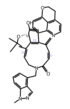 C=C1/C=C\C(=O)N(Cc2cccc3c2cnn3C)C/C=C(C)\C([C@H](OC(C)(C)C)C(=O)O)=C/1c1ccc2c3c(ccnc13)CCO2